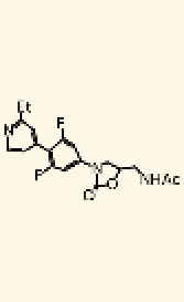 CCc1cc(-c2c(F)cc(N3CC(CNC(C)=O)OC3=O)cc2F)ccn1